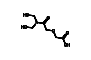 O=C(O)COCC(=O)N(CO)CO